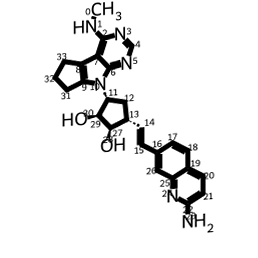 CNc1ncnc2c1c1c(n2[C@@H]2C[C@H](/C=C/c3ccc4ccc(N)nc4c3)[C@@H](O)[C@H]2O)CCC1